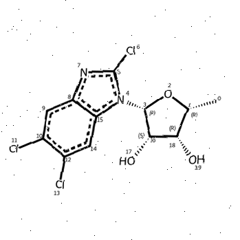 C[C@H]1O[C@@H](n2c(Cl)nc3cc(Cl)c(Cl)cc32)[C@@H](O)[C@H]1O